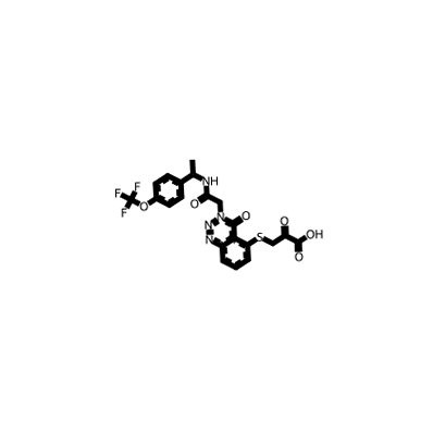 CC(NC(=O)Cn1nnc2cccc(SCC(=O)C(=O)O)c2c1=O)c1ccc(OC(F)(F)F)cc1